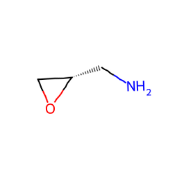 NC[C@H]1CO1